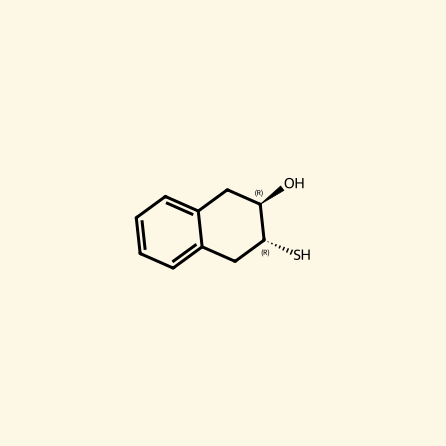 O[C@@H]1Cc2ccccc2C[C@H]1S